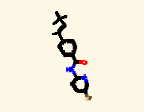 C/C(=C\C(C)(C)C)c1ccc(C(=O)Nc2ccc(Br)cn2)cc1